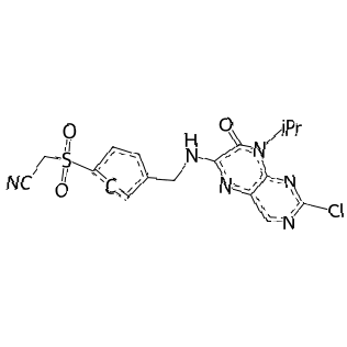 CC(C)n1c(=O)c(NCc2ccc(S(=O)(=O)CC#N)cc2)nc2cnc(Cl)nc21